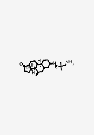 C=C1CC2CC(=NOC(C)(C)CN)CC[C@]2(C)[C@H]2CC[C@]3(C)C(=O)CC[C@H]3[C@H]12